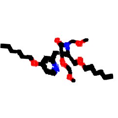 C=CCCCCOC[C@@H]1N(COC)C(=O)[C@]1(Cc1cc(OCCCCC=C)ccn1)OCOC